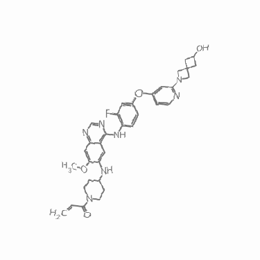 C=CC(=O)N1CCC(Nc2cc3c(Nc4ccc(Oc5ccnc(N6CC7(CC(O)C7)C6)c5)cc4F)ncnc3cc2OC)CC1